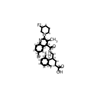 Cc1c(N2CCCC(F)C2)nc2ccc(Br)cc2c1C(=O)NCC(CCC(=O)O)c1c(F)cccc1F